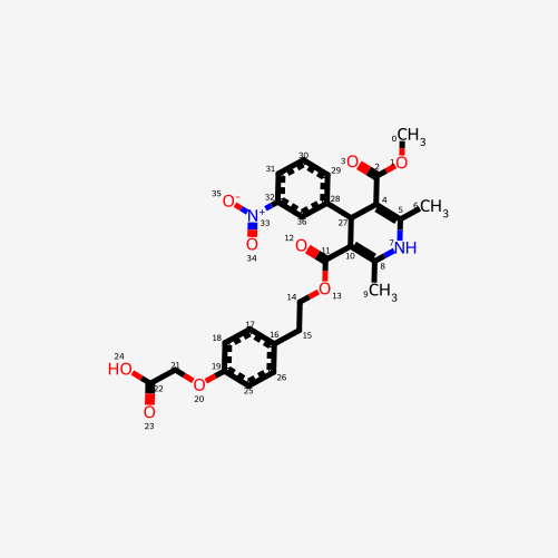 COC(=O)C1=C(C)NC(C)=C(C(=O)OCCc2ccc(OCC(=O)O)cc2)C1c1cccc([N+](=O)[O-])c1